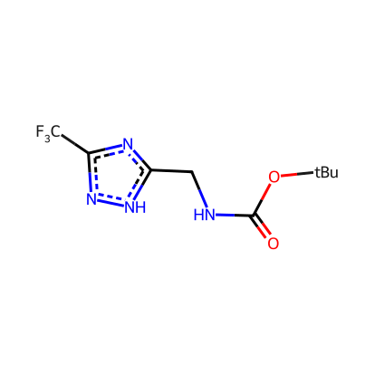 CC(C)(C)OC(=O)NCc1nc(C(F)(F)F)n[nH]1